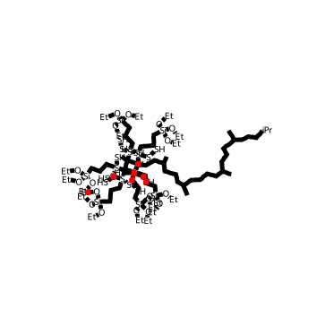 CCO[Si](CCCS(S)(SS)C(C)(C(CCC(C)CCCC(C)CCCCC(C)CCCC(C)CCCC(C)C)(S(S)(CCC[Si](OCC)(OCC)OCC)SS)S(S)(CCC[Si](OCC)(OCC)OCC)SS)C(S(S)(CCC[Si](OCC)(OCC)OCC)SS)(S(S)(CCC[Si](OCC)(OCC)OCC)SS)S(S)(CCC[Si](OCC)(OCC)OCC)SS)(OCC)OCC